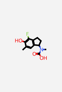 Cc1cc2c(c(F)c1O)CCC2N(C)C(=O)O